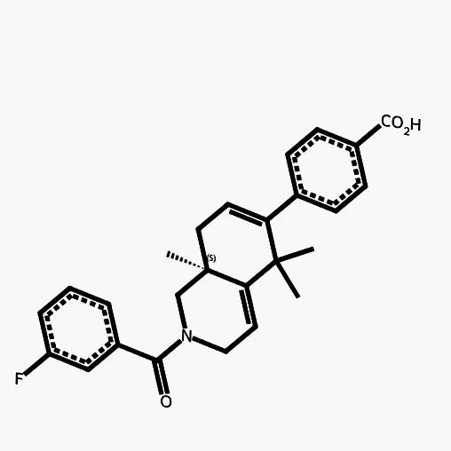 CC1(C)C(c2ccc(C(=O)O)cc2)=CC[C@]2(C)CN(C(=O)c3cccc(F)c3)CC=C12